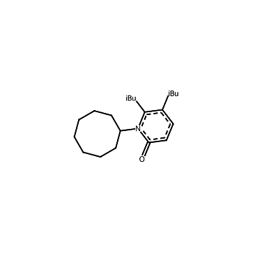 CCC(C)c1ccc(=O)n(C2CCCCCCC2)c1C(C)CC